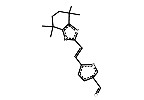 CC1(C)CCC(C)(C)c2sc(/C=C/c3ccc(C=O)cn3)nc21